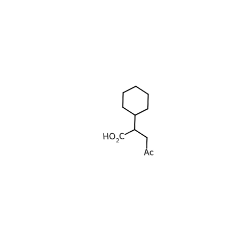 CC(=O)CC(C(=O)O)C1CCCCC1